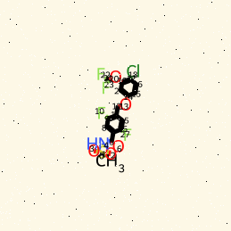 CS(=O)(=O)NC(=O)c1cc(F)c(COc2ccc(Cl)c(OC(F)F)c2)cc1F